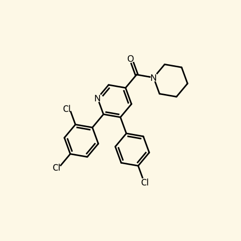 O=C(c1cnc(-c2ccc(Cl)cc2Cl)c(-c2ccc(Cl)cc2)c1)N1CCCCC1